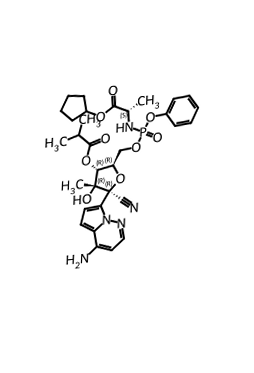 CC(C)C(=O)O[C@@H]1[C@@H](COP(=O)(N[C@@H](C)C(=O)OC2CCCC2)Oc2ccccc2)O[C@@](C#N)(c2ccc3c(N)ccnn23)[C@]1(C)O